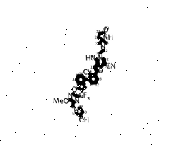 COc1nc(O[C@H]2CCc3c(-c4cccc(-c5cc6c(=N)n(CCN7CC8(CCC(=O)N8)C7)cc(C#N)c6o5)c4Cl)cccc32)c(C(F)(F)F)nc1CN1CC[C@@H](O)C1